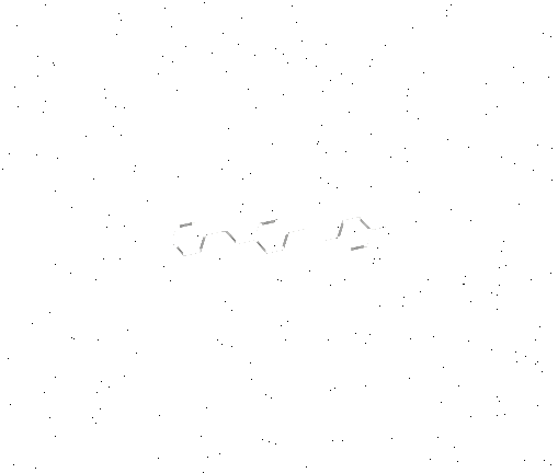 Cc1ccc(OCc2ccc(C=Cc3ccncc3)cc2)cc1